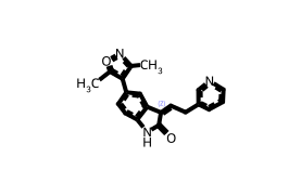 Cc1noc(C)c1-c1ccc2c(c1)/C(=C/Cc1cccnc1)C(=O)N2